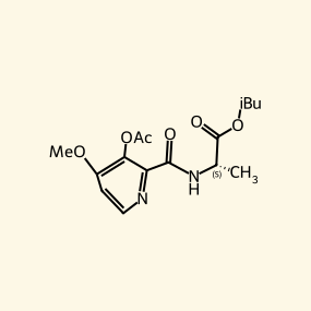 CCC(C)OC(=O)[C@H](C)NC(=O)c1nccc(OC)c1OC(C)=O